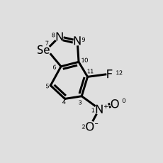 O=[N+]([O-])c1ccc2[se]nnc2c1F